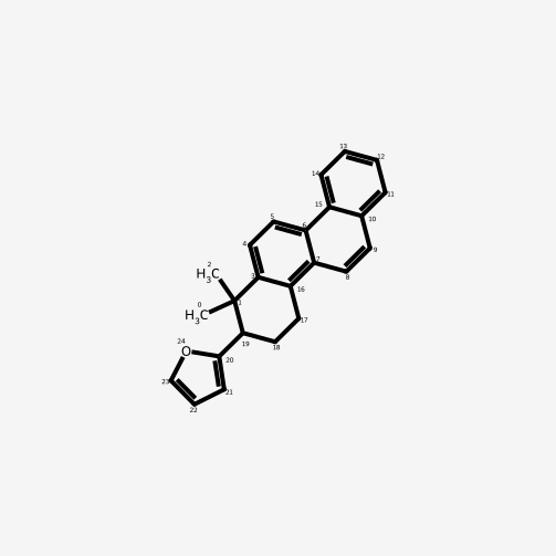 CC1(C)c2ccc3c(ccc4ccccc43)c2CCC1c1ccco1